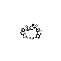 COc1cc(-c2cc(C(=O)N3CC[C@H](C(=O)Nc4cnn5ccc(C)nc45)CC34CC4)n[nH]2)c(F)cn1